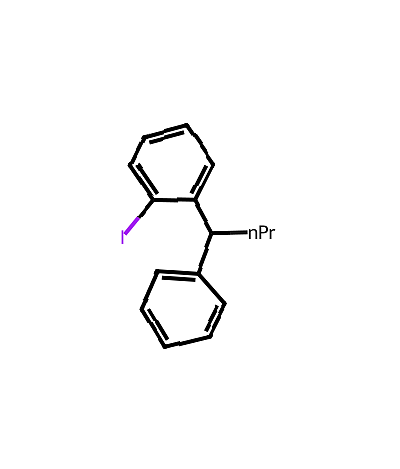 CCCC(c1ccccc1)c1ccccc1I